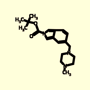 CN1CCN(Cc2ccc3cn(C(=O)OC(C)(C)C)cc3c2)CC1